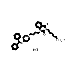 CCOC(=O)CCCCCn1c(=O)c2ccccc2n(CCCCN2CCC(OC(c3ccccc3)c3ccccc3)CC2)c1=O.Cl